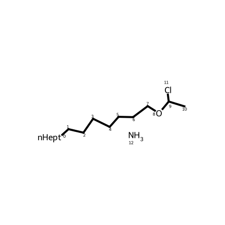 CCCCCCCCCCCCCCOC(C)Cl.N